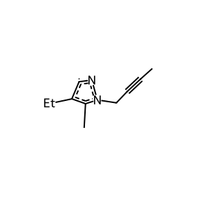 CC#CCn1n[c]c(CC)c1C